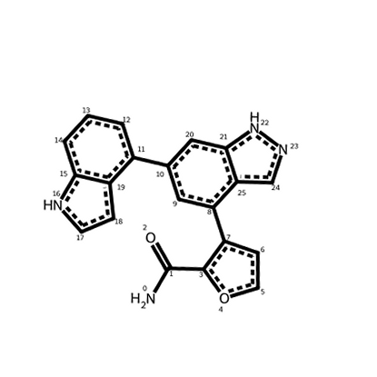 NC(=O)c1occc1-c1cc(-c2cccc3[nH]ccc23)cc2[nH]ncc12